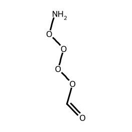 NOOOOC=O